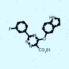 CCOC(=O)c1nnc(-c2cccc(F)c2)nc1Oc1ccc2[nH]ccc2c1